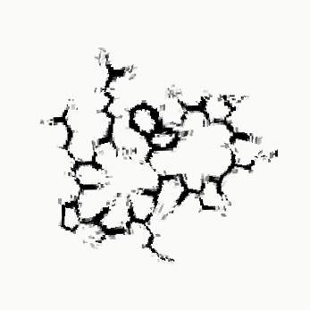 CC[C@H](C)[C@H](N)C(=O)N[C@@H](CC(=O)O)C(=O)N[C@@H](CC(=O)O)C(=O)N[C@@H](CS)C(=O)N[C@@H](Cc1c[nH]c2ccccc12)C(=O)N[C@@H](CCSC)C(=O)N[C@@H](C)C(=O)N1CCC[C@H]1C(=O)N[C@@H](CCC(N)=O)C(=O)N[C@@H](CCCNC(=N)N)C(=O)O